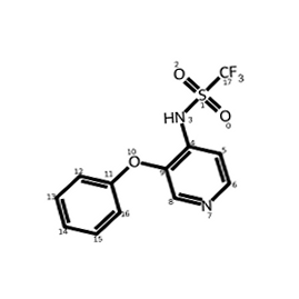 O=S(=O)(Nc1ccncc1Oc1ccccc1)C(F)(F)F